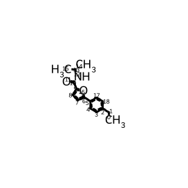 CCc1ccc(-c2ccc(C(=O)NC(C)C)o2)cc1